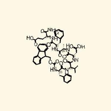 CC(C)[C@H](NC(=O)[C@H](Cc1ccccc1)NC(=O)OCC1c2ccccc2-c2ccccc21)C(=O)N[C@@H](CC(=O)O)C(=O)N[C@@H](C)C(=O)N[C@@H](Cc1ccccc1)C(=O)N[C@@H](CCC(=O)O)C(N)=O